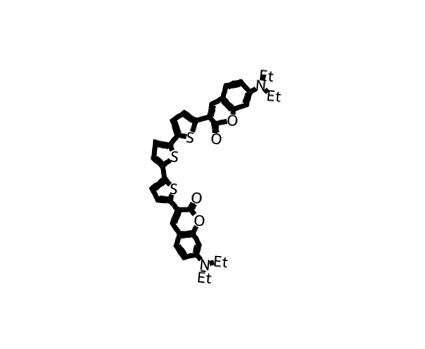 CCN(CC)c1ccc2cc(-c3ccc(-c4ccc(-c5ccc(-c6cc7ccc(N(CC)CC)cc7oc6=O)s5)s4)s3)c(=O)oc2c1